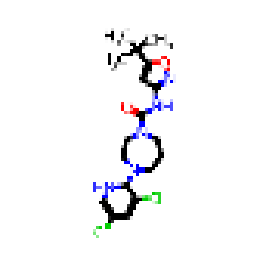 CC(C)(C)c1cc(NC(=O)N2CCCN(C3NC=C(Cl)C=C3Cl)CC2)no1